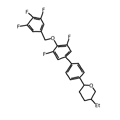 CCC1CCC(c2ccc(-c3cc(F)c(OCc4cc(F)c(F)c(F)c4)c(F)c3)cc2)OC1